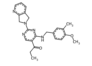 CCC(=O)c1cnc(N2Cc3cccnc3C2)nc1NCc1ccc(OC)c(C)c1